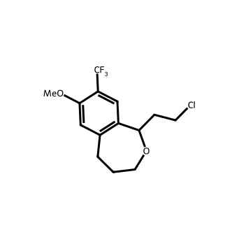 COc1cc2c(cc1C(F)(F)F)C(CCCl)OCCC2